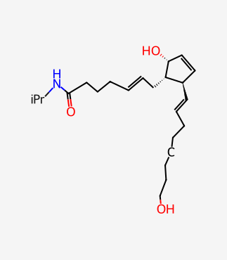 CC(C)NC(=O)CCCC=CC[C@H]1[C@H](C=CCCCCCCO)C=C[C@H]1O